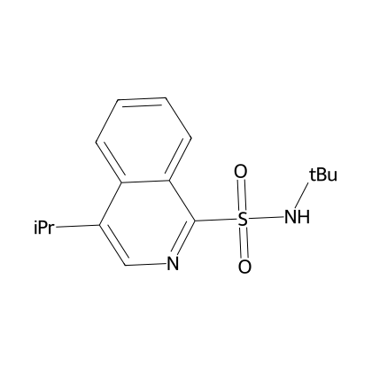 CC(C)c1cnc(S(=O)(=O)NC(C)(C)C)c2ccccc12